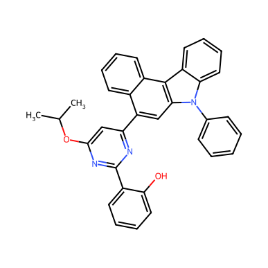 CC(C)Oc1cc(-c2cc3c(c4ccccc24)c2ccccc2n3-c2ccccc2)nc(-c2ccccc2O)n1